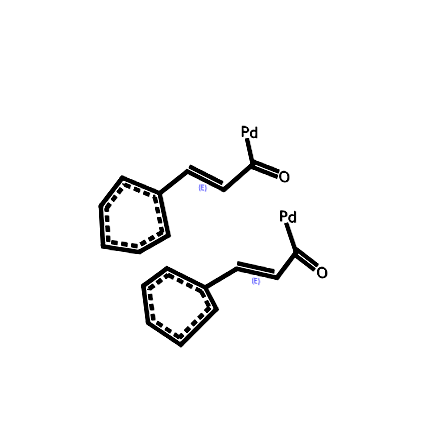 O=[C]([Pd])/C=C/c1ccccc1.O=[C]([Pd])/C=C/c1ccccc1